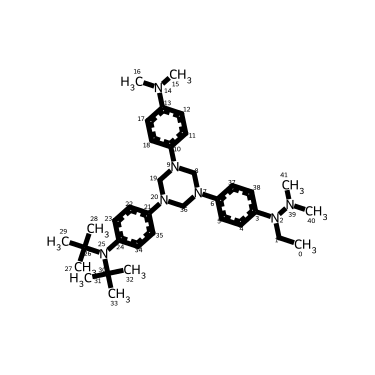 CCN(c1ccc(N2CN(c3ccc(N(C)C)cc3)CN(c3ccc(N(C(C)(C)C)C(C)(C)C)cc3)C2)cc1)N(C)C